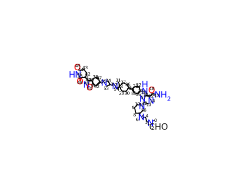 CN(C=O)CCN(C)C1CCCN(c2cnc(C(N)=O)c(Nc3ccc(C4CCC5(CC4)CN(C4CN(c6ccc7c(C8CCC(=O)NC8=O)noc7c6)C4)C5)cc3)n2)C1